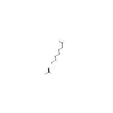 CC(C)=C[SiH2]CCCCCCC(=O)Cl